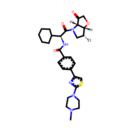 CC[C@@H]1CN(C(=O)[C@@H](NC(=O)c2ccc(-c3csc(N4CCN(C)CC4)n3)cc2)C2CCCCC2)[C@@H]2C(=O)CO[C@H]12